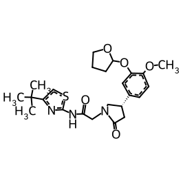 COc1ccc([C@@H]2CC(=O)N(CC(=O)Nc3nc(C(C)(C)C)cs3)C2)cc1OC1CCCO1